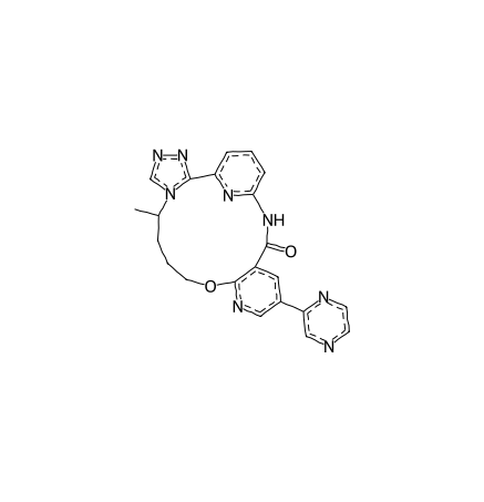 CC1CCCOc2ncc(-c3cnccn3)cc2C(=O)Nc2cccc(n2)-c2nncn21